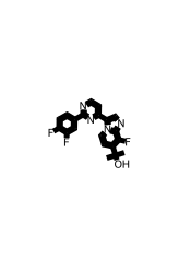 CC(C)(O)c1ccn2c(-c3ccnc(-c4ccc(F)c(F)c4)n3)cnc2c1F